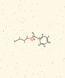 CCC[CH]OC(C)c1ccccc1